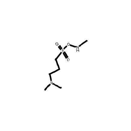 CNOS(=O)(=O)CCCN(C)C